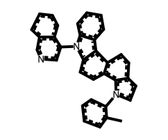 Cc1ccccc1-n1ccc2ccc3c(ccc4c3c3ccccc3n4-c3cncc4ccccc34)c21